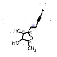 C[C@@H]1O[C@H](/C=C/C#CF)[C@H](O)C1O